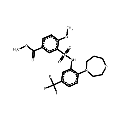 COC(=O)c1ccc(OC)c(S(=O)(=O)Nc2cc(C(F)(F)F)ccc2N2CCCOCC2)c1